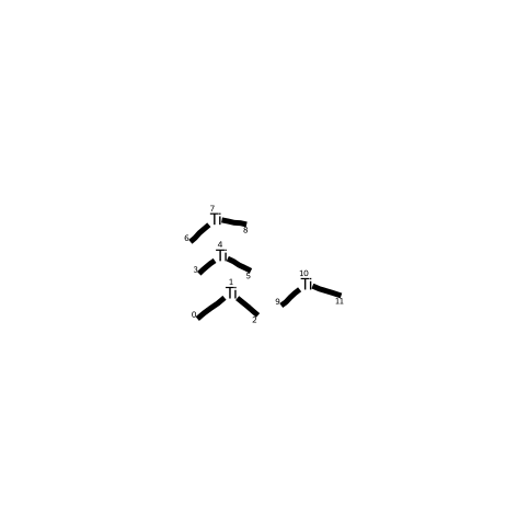 [CH3][Ti][CH3].[CH3][Ti][CH3].[CH3][Ti][CH3].[CH3][Ti][CH3]